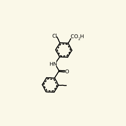 Cc1ccccc1C(=O)Nc1ccc(C(=O)O)c(Cl)c1